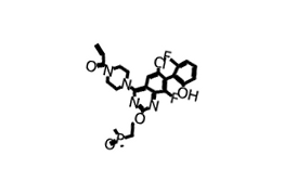 C=CC(=O)N1CCN(c2nc(OCCP(C)(C)=O)nc3c(F)c(-c4c(O)cccc4F)c(Cl)cc23)CC1